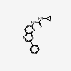 S=C(Nc1ccc2ncc(-c3ccccc3)nc2n1)NC1CC1